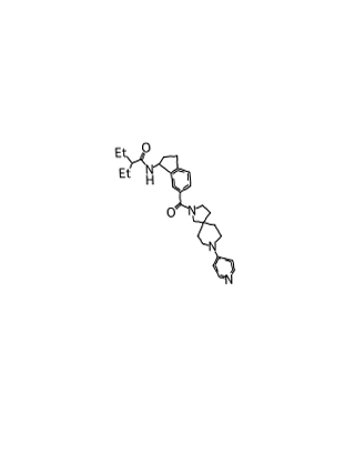 CCC(CC)C(=O)NC1CCc2ccc(C(=O)N3CCC4(CCN(c5ccncc5)CC4)C3)cc21